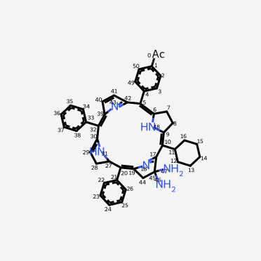 CC(=O)c1ccc(/C2=C3\CC/C(=C(\C4CCCCC4)C4=N/C(=C(/c5ccccc5)C5CC=C(N5)/C(c5ccccc5)=C5/C=CC2=N5)CC4(N)N)N3)cc1